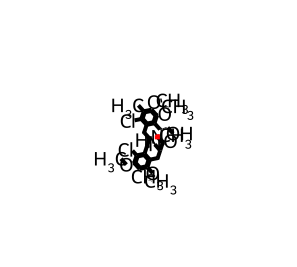 CCN1C2Cc3c(OC)c(C)c(OC)c(Cl)c3C1[C@@H]1Cc3c(Cl)c(C)c(OC)c(OC)c3[C@H](CO)N1C2=O